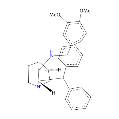 COc1ccc(CN[C@@H]2C3CCN(CC3)[C@H]2C(c2ccccc2)c2ccccc2)cc1OC